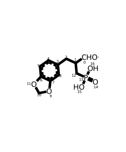 O=[C]C(Cc1ccc2c(c1)OCO2)CP(=O)(O)O